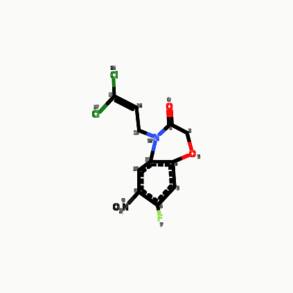 O=C1COc2cc(F)c([N+](=O)[O-])cc2N1CC=C(Cl)Cl